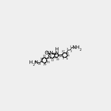 NCCCc1cccc(-c2cc3cn(-c4ccc(CN)cc4)c(=O)nc3[nH]2)c1